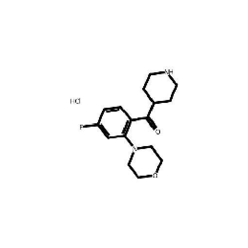 Cl.O=C(c1ccc(F)cc1N1CCOCC1)C1CCNCC1